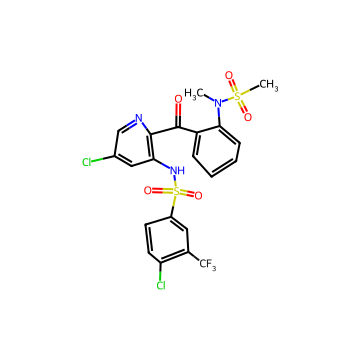 CN(c1ccccc1C(=O)c1ncc(Cl)cc1NS(=O)(=O)c1ccc(Cl)c(C(F)(F)F)c1)S(C)(=O)=O